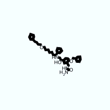 NC(=O)NCc1cc(C(O)CNC(CCCCCCOCCCCc2ccccc2)c2ccccc2)ccc1OCc1ccccc1